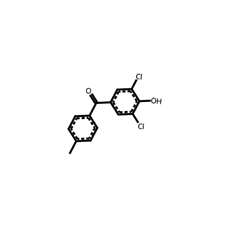 Cc1ccc(C(=O)c2cc(Cl)c(O)c(Cl)c2)cc1